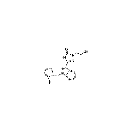 O=c1[nH]c(-c2nn(Cc3ccccc3F)c3ncccc23)nn1CCO